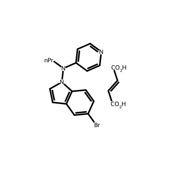 CCCN(c1ccncc1)n1ccc2cc(Br)ccc21.O=C(O)C=CC(=O)O